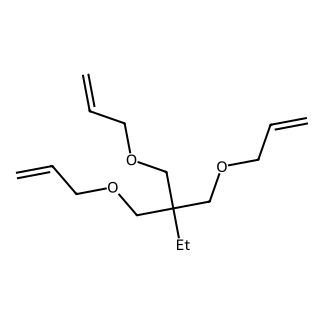 C=CCOCC(CC)(COCC=C)COCC=C